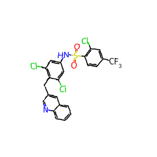 O=S(=O)(Nc1cc(Cl)c(Cc2cnc3ccccc3c2)c(Cl)c1)c1ccc(C(F)(F)F)cc1Cl